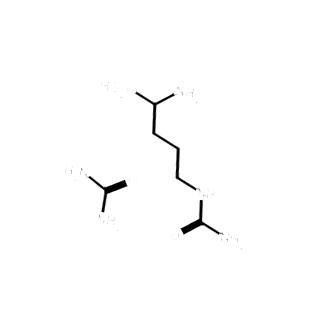 NC(=O)NCCCC(N)C(=O)O.NC(N)=O